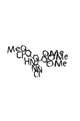 COc1ccc(CNc2nc(Cl)ncc2C(=O)c2cc(OC)c(OC)c(OC)c2)cc1Cl